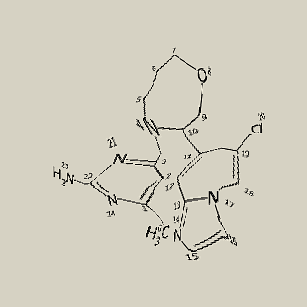 Cc1cc(N2CCCOCC2c2cc3nccn3cc2Cl)nc(N)n1